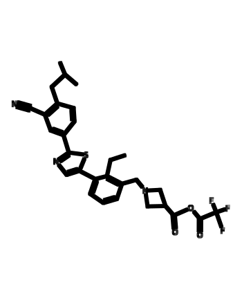 CCc1c(CN2CC(C(=O)OC(=O)C(F)(F)F)C2)cccc1-c1cnc(-c2ccc(CC(C)C)c(C#N)c2)s1